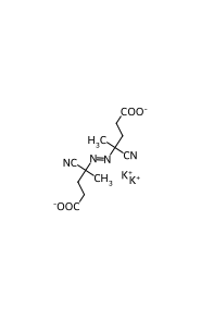 CC(C#N)(CCC(=O)[O-])/N=N/C(C)(C#N)CCC(=O)[O-].[K+].[K+]